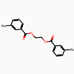 CC(C)(C)c1cccc(C(=O)OCCOC(=O)c2cccc(C(C)(C)C)c2)c1